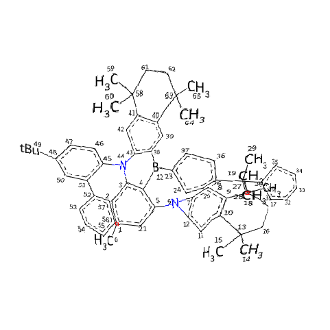 Cc1cc2c(c(N3c4cc5c(cc43)C(C)(C)CCC5(C)C)c1)B(c1ccc(C(C)(C)c3ccccc3)cc1)c1cc3c(cc1N2c1ccc(C(C)(C)C)cc1-c1ccccc1)C(C)(C)CCC3(C)C